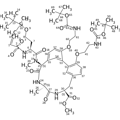 C=CS(=O)(=O)N[C@@H](CCO[Si](C)(C)C(C)(C)C)C(=O)N(C)[C@@H]1C(=O)N[C@@H](C)C(=O)N[C@H](C(=O)OC)Cc2ccc(OCCNC(=O)OC(C)(C)C)c(c2)-c2cc1ccc2OCCNC(=O)OC(C)(C)C